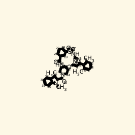 Cc1cccc(C)c1-c1cc2nc(n1)NS(=O)(=O)c1cccc(c1)C(=O)NC1(CCN(C(=O)C3C(C)c4ccccc4N3C)CC1)O2